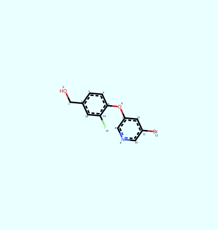 OCc1ccc(Oc2cncc(Br)c2)c(F)c1